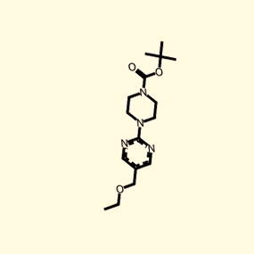 CCOCc1cnc(N2CCN(C(=O)OC(C)(C)C)CC2)nc1